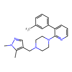 Cc1c(CN2CCN(c3ncccc3-c3cccc(C(F)(F)F)c3)CC2)cnn1C